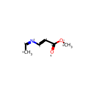 C/C=N\C=C\C(=O)OC